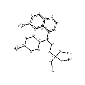 Cc1ccc2ncnc(N(CCC(CF)(CF)CF)C3CCC(N)CC3)c2c1